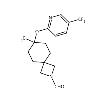 CC1(Oc2ccc(C(F)(F)F)cn2)CCC2(CC1)CN(C=O)C2